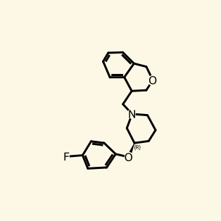 Fc1ccc(O[C@@H]2CCCN(CC3COCc4ccccc43)C2)cc1